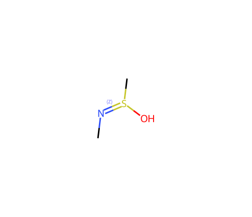 C/N=S(/C)O